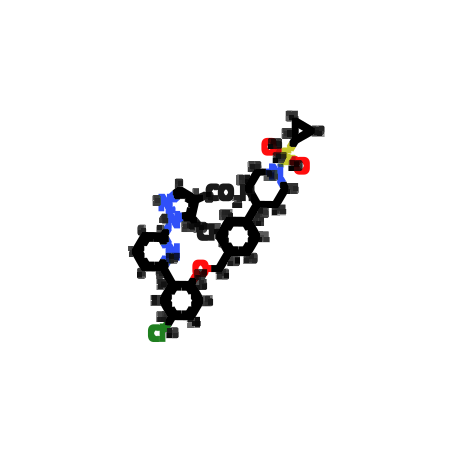 O=C(O)c1cnn(-c2cccc(-c3cc(Cl)ccc3OCc3ccc(C4CCN(S(=O)(=O)C5CC5)CC4)cc3)n2)c1C(F)(F)F